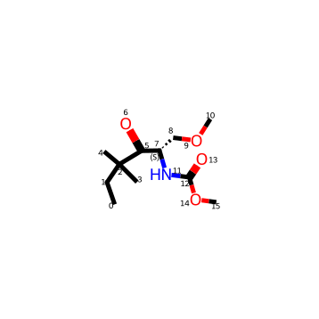 CCC(C)(C)C(=O)[C@H](COC)NC(=O)OC